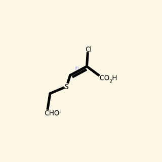 O=[C]CS/C=C(/Cl)C(=O)O